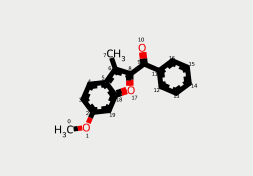 COc1ccc2c(C)c(C(=O)c3ccccc3)oc2c1